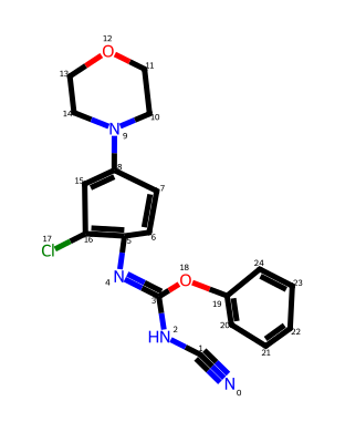 N#CN/C(=N/c1ccc(N2CCOCC2)cc1Cl)Oc1ccccc1